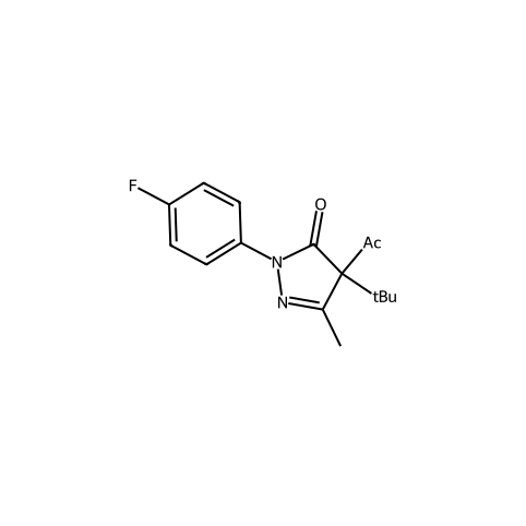 CC(=O)C1(C(C)(C)C)C(=O)N(c2ccc(F)cc2)N=C1C